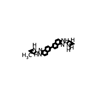 CC12CC1N[C@H](c1nc3c(ccc4cc(-c5ccc6c(ccc7[nH]c([C@@H]8C[C@H]9C[C@H]9N8)nc76)c5)ccc43)[nH]1)C2